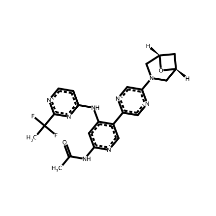 CC(=O)Nc1cc(Nc2ccnc(C(C)(F)F)n2)c(-c2cnc(N3C[C@H]4C[C@@H](C3)O4)cn2)cn1